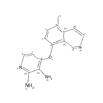 Cc1ccc(Oc2ccnc(N)c2N)c2cnccc12